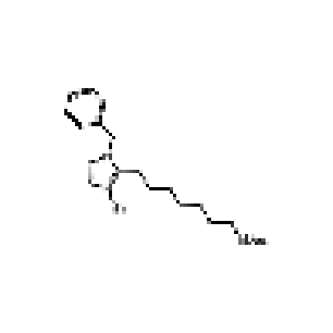 CCCCCCCCCCCCCCCCCc1n(Cc2ccccc2)cc[n+]1C(C)C